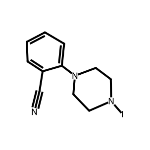 N#Cc1ccccc1N1CCN(I)CC1